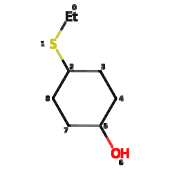 CCSC1CCC(O)CC1